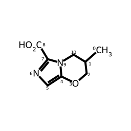 CC1COc2cnc(C(=O)O)n2C1